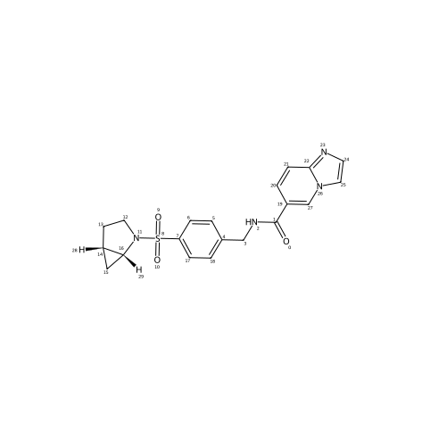 O=C(NCc1ccc(S(=O)(=O)N2CC[C@H]3C[C@H]32)cc1)c1ccc2nccn2c1